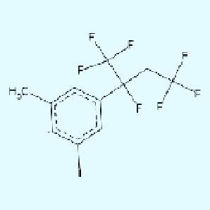 Cc1[c]c(I)cc(C(F)(CC(F)(F)F)C(F)(F)F)c1